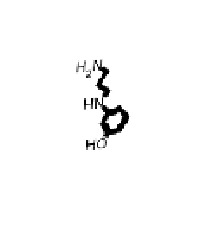 NCCCNc1cccc(O)c1